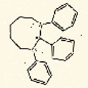 c1ccc([As]2CCCCC[As](c3ccccc3)[As]2c2ccccc2)cc1